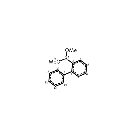 COB(OC)c1ccccc1-c1ccccc1